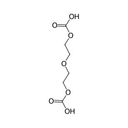 O=C(O)OCCOCCOC(=O)O